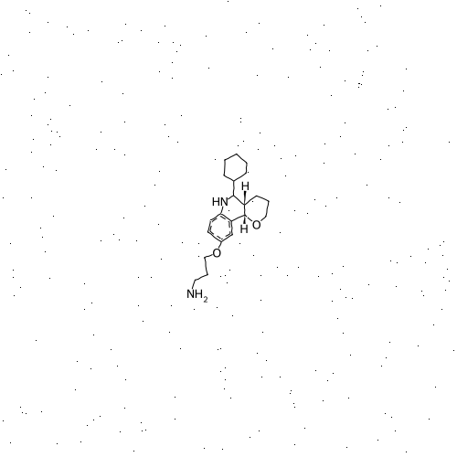 NCCCOc1ccc2c(c1)[C@H]1OCCC[C@H]1C(C1CCCCC1)N2